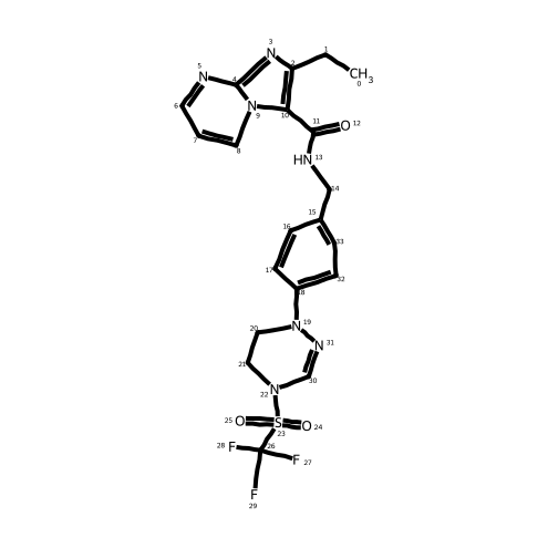 CCc1nc2ncccn2c1C(=O)NCc1ccc(N2CCN(S(=O)(=O)C(F)(F)F)C=N2)cc1